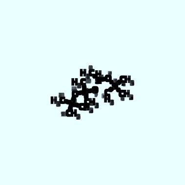 C[SiH](O[Si](C)(C)C)O[Si](C)(C)O[Si](C)(C)C